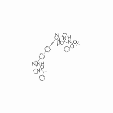 C[C@@H](C(=O)N1CCC[C@H]1c1ncc(-c2ccc(-c3ccc(C#Cc4cnc([C@@H]5CCCN5C(=O)[C@H](NC(=O)OC(C)(C)C)c5ccccc5)[nH]4)cc3)cc2)[nH]1)c1ccccc1